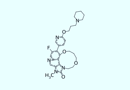 Cn1c(=O)n2c3c4c(c(-c5ccc(OCCCN6CCCCC6)nc5)c(F)cc4ncc31)OCCCOCC2